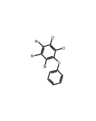 Clc1c(Cl)c(Oc2ccccc2)c(Br)c(Br)c1Br